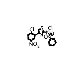 O=[N+]([O-])c1ccc(Cl)c(-c2csc(N(Cl)S(=O)(=O)c3ccccc3)n2)c1